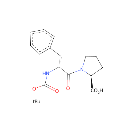 CC(C)(C)OC(=O)N[C@H](Cc1ccccc1)C(=O)N1CCC[C@H]1C(=O)O